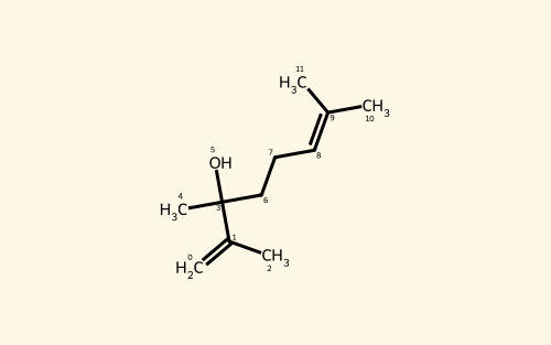 C=C(C)C(C)(O)CCC=C(C)C